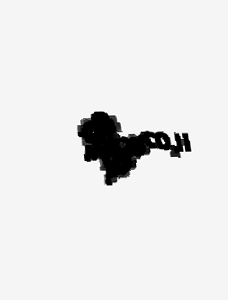 COc1cc(CC(=O)O)ccc1-c1ccc(F)c2c1CN(C(=O)C[C@@H]1CCOc3ccccc31)CC2